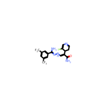 NC(=O)/C(=C/N/N=C(\N)c1cc(C(F)(F)F)cc(C(F)(F)F)c1)C1CC=NC=C1F